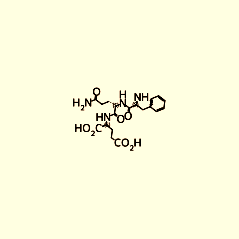 NC(=O)CC[C@H](NC(=O)[C@@H](N)Cc1ccccc1)C(=O)N[C@@H](CCC(=O)O)C(=O)O